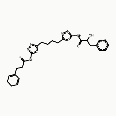 O=C(CCC1=CCCC=C1)Nc1nnc(CCCCc2nnc(NC(=O)C(O)Cc3ccccc3)s2)s1